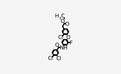 CCOC(=O)Cc1ccc(Oc2ccc(NC(=O)c3ccc(Cl)c(Cl)c3)cc2F)c(Cl)c1